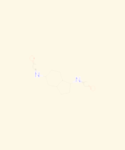 O=C=NC1CCC2C(CCC2N=C=O)C1